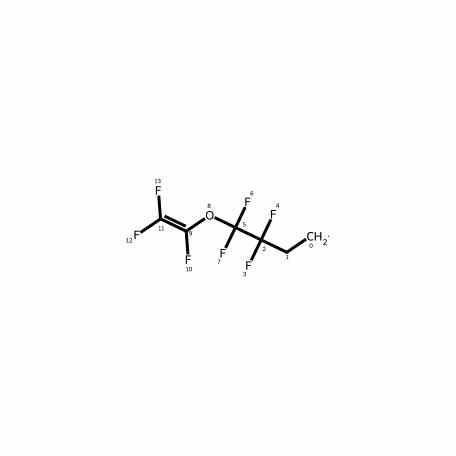 [CH2]CC(F)(F)C(F)(F)OC(F)=C(F)F